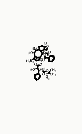 CC(=O)O[C@@]12CO[C@@H]1CC[C@@]1(C)C(=O)[C@H](O)C3=C(C)[C@@H](OC(=O)[C@H](O)[C@@H](NC(=O)OC(C)(C)C)c4ccccc4)C[C@@](O)([C@@H](OC(=O)c4ccccc4)[C@H]21)C3(C)C